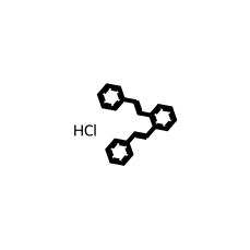 C(=Cc1ccccc1C=Cc1ccccc1)c1ccccc1.Cl